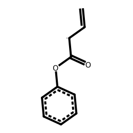 C=C[CH]C(=O)Oc1ccccc1